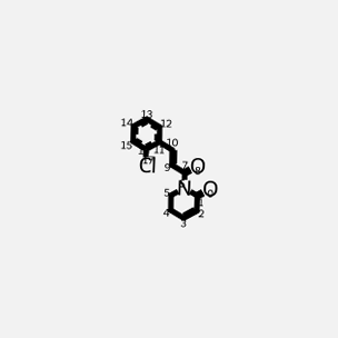 O=C1C=CCCN1C(=O)C=Cc1ccccc1Cl